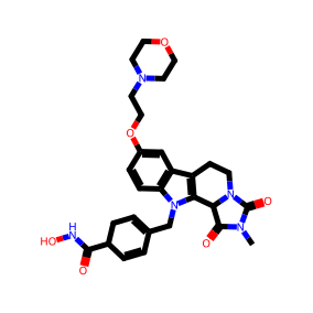 CN1C(=O)C2c3c(c4cc(OCCN5CCOCC5)ccc4n3CC3=CCC(C(=O)NO)C=C3)CCN2C1=O